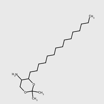 CCCCCCCCCCCCCCCC1OC(C)(C)OCC1N